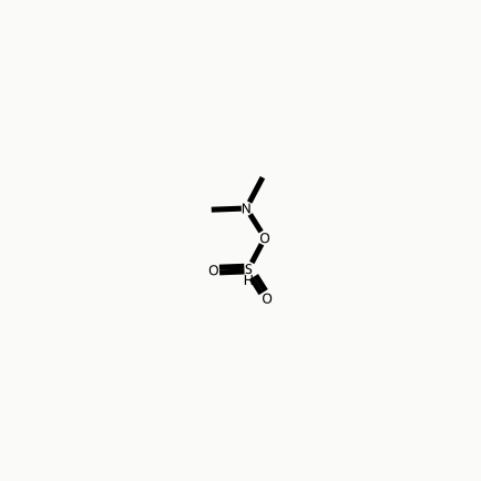 CN(C)O[SH](=O)=O